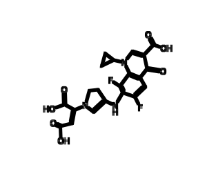 O=C(O)/C=C(\C(=O)O)N1C=C(Nc2c(F)cc3c(=O)c(C(=O)O)cn(C4CC4)c3c2F)CC1